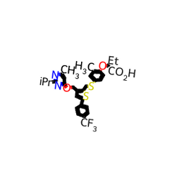 CCC(Oc1ccc(SCc2sc(-c3ccc(C(F)(F)F)cc3)cc2COc2cc(C)nc(C(C)C)n2)cc1C)C(=O)O